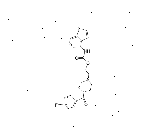 O=C(Nc1cccc2sccc12)OCCN1CCC(C(=O)c2ccc(F)cc2)CC1